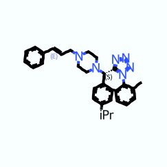 Cc1cccc(C)c1-n1nnnc1[C@H](c1ccc(C(C)C)cc1)N1CCN(C/C=C/c2ccccc2)CC1